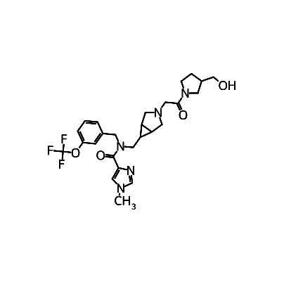 Cn1cnc(C(=O)N(Cc2cccc(OC(F)(F)F)c2)CC2C3CN(CC(=O)N4CCC(CO)C4)CC32)c1